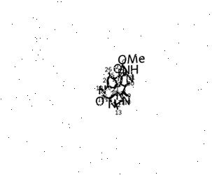 COC(=O)Nc1ccc(-c2cnc3c(C)nc(C(=O)N(C)c4ccc(F)c(C)c4)cn23)cn1